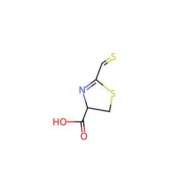 O=C(O)C1CSC(C=S)=N1